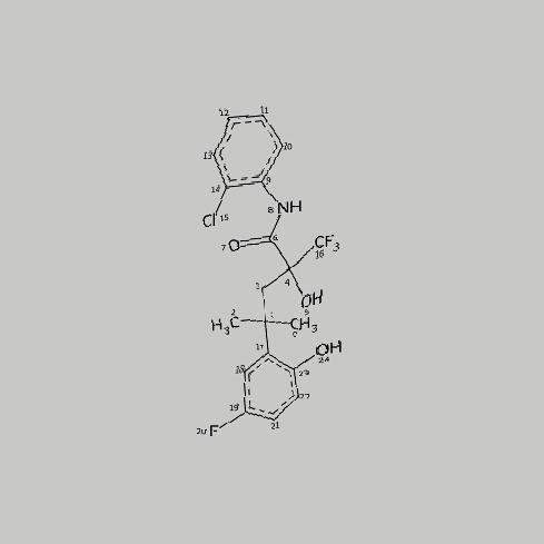 CC(C)(CC(O)(C(=O)Nc1ccccc1Cl)C(F)(F)F)c1cc(F)ccc1O